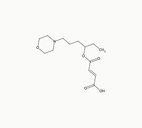 CCC(CCCN1CCOCC1)OC(=O)C=CC(=O)O